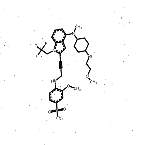 COCCNC1CCC(N(C)c2cccc3c2cc(C#CCNc2ccc(S(C)(=O)=O)cc2OC)n3CC(F)(F)F)CC1